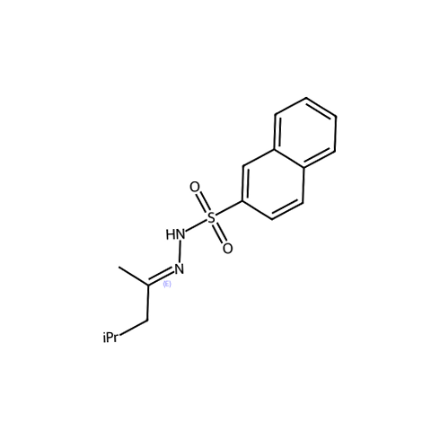 C/C(CC(C)C)=N\NS(=O)(=O)c1ccc2ccccc2c1